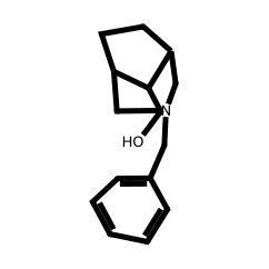 OCC1C2CCC1CN(Cc1ccccc1)C2